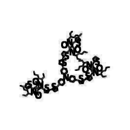 CCCCC(CC)CN1C(=O)C2=C(c3ccc(-c4ccc(-c5ccc(N(c6ccc(-c7ccc(-c8ccc(C9=C%10C(=O)N(CC(CC)CCCC)C(c%11cccs%11)=C%10C(=O)N9CC(CC)CCCC)s8)s7)cc6)c6ccc(-c7ccc(-c8ccc(C9=C%10C(=O)N(CC(CC)CCCC)C(c%11cccs%11)=C%10C(=O)N9CC(CC)CCCC)s8)s7)cc6)cc5)s4)s3)N(CC(CC)CCCC)C(=O)C2=C1c1cccs1